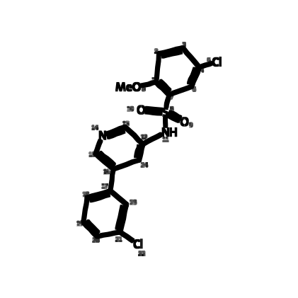 COc1ccc(Cl)cc1S(=O)(=O)Nc1cncc(-c2cccc(Cl)c2)c1